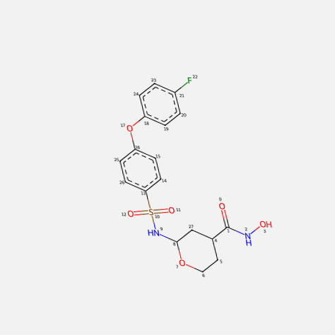 O=C(NO)C1CCOC(NS(=O)(=O)c2ccc(Oc3ccc(F)cc3)cc2)C1